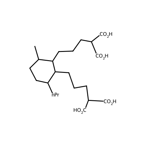 CCCC1CCC(C)C(CCCC(C(=O)O)C(=O)O)C1CCCC(C(=O)O)C(=O)O